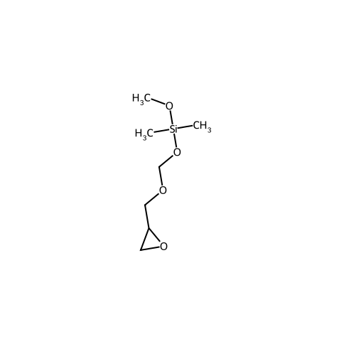 CO[Si](C)(C)OCOCC1CO1